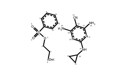 CCCCCCCCCCCCOS(=O)(=O)c1ccccc1.N#Cc1c(N)nc(NC2CC2)nc1N